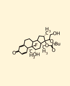 CCCCC(=O)O[C@]1(C(=O)CO)[C@@H](C)CC2C3CCC4=CC(=O)C=C[C@]4(C)[C@@]3(F)[C@@H](O)C[C@@]21C